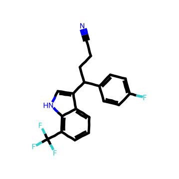 N#CCCC(c1ccc(F)cc1)c1c[nH]c2c(C(F)(F)F)cccc12